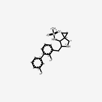 CS(=O)(=O)NC1C(Cc2cccc(-c3cccc(F)c3)c2F)NCC12CC2